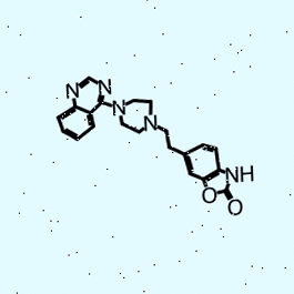 O=c1[nH]c2ccc(CCN3CCN(c4ncnc5ccccc45)CC3)cc2o1